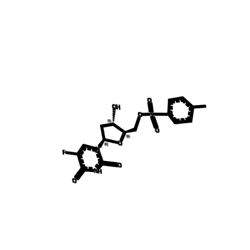 Cc1ccc(S(=O)(=O)OC[C@H]2O[C@@H](n3cc(F)c(=O)[nH]c3=O)C[C@@H]2O)cc1